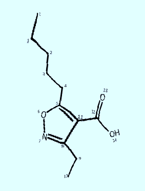 CCCCCc1onc(CC)c1C(=O)O